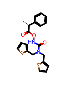 C[C@@H](C(=O)ONC(=O)N(Cc1cccs1)Cc1cccs1)c1ccccc1